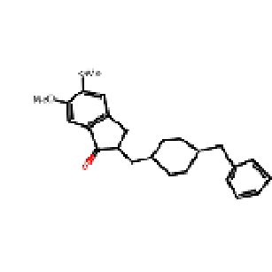 COc1cc2c(cc1OC)C(=O)C(CC1CCC(Cc3ccccc3)CC1)C2